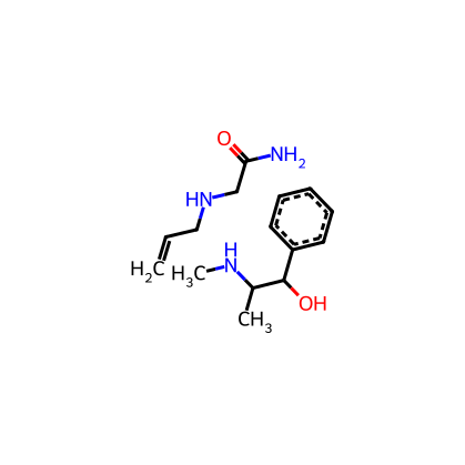 C=CCNCC(N)=O.CNC(C)C(O)c1ccccc1